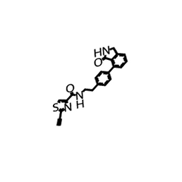 C#Cc1nc(C(=O)NCCc2ccc(-c3cccc4c3C(=O)NC4)cc2)cs1